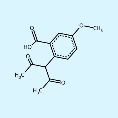 COc1ccc(C(C(C)=O)C(C)=O)c(C(=O)O)c1